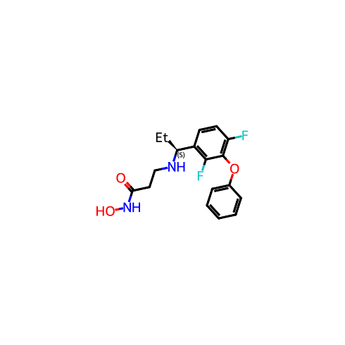 CC[C@H](NCCC(=O)NO)c1ccc(F)c(Oc2ccccc2)c1F